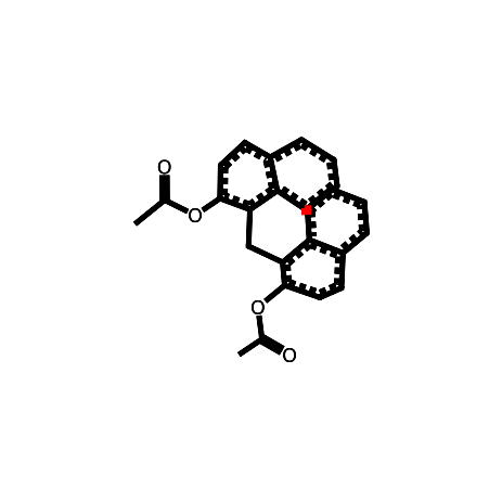 CC(=O)Oc1ccc2ccccc2c1Cc1c(OC(C)=O)ccc2ccccc12